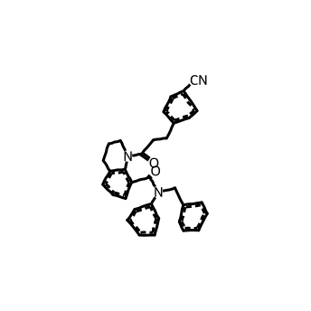 N#Cc1ccc(CCC(=O)N2CCCc3cccc(C(=O)N(Cc4ccccc4)c4ccccc4)c32)cc1